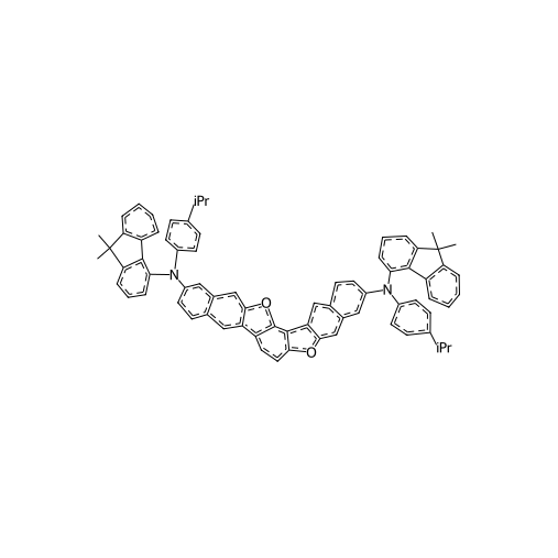 CC(C)c1ccc(N(c2ccc3cc4c(cc3c2)oc2c4ccc3oc4cc5cc(N(c6ccc(C(C)C)cc6)c6cccc7c6-c6ccccc6C7(C)C)ccc5cc4c32)c2cccc3c2-c2ccccc2C3(C)C)cc1